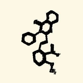 COc1cccc(/C=C/c2nc3ccccc3c(=O)n2-c2ccccc2)c1[N+](=O)[O-]